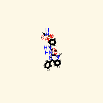 CC(=O)NS(=O)(=O)c1cccc(NC(=O)N[C@@H]2N=C(C3CCCCC3)c3ccccc3N(C)C2=O)c1